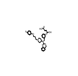 Fc1ccc(OCCCN2CCC(N(Cc3ccccc3)C3=Nc4ccccc4CS3)CC2)cc1.O=C(O)C=CC(=O)O